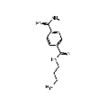 CCCCNC(=O)c1ccc(C(=N)N)cc1